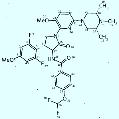 COc1cc(F)c([C@@H]2CN(c3nc(N4C[C@@H](C)N(C)[C@@H](C)C4)ccc3OC)C(=O)C2NC(=O)c2ccc(OC(F)F)cc2)c(F)c1